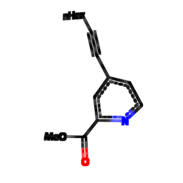 CCCCCCC#Cc1ccnc(C(=O)OC)c1